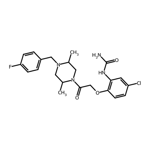 CC1CN(C(=O)COc2ccc(Cl)cc2NC(N)=O)C(C)CN1Cc1ccc(F)cc1